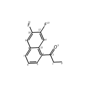 CCC(=O)c1cccc2cc(F)c(F)cc12